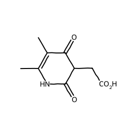 CC1=C(C)C(=O)C(CC(=O)O)C(=O)N1